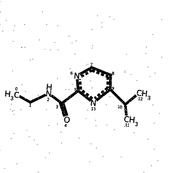 CCNC(=O)c1nccc(C(C)C)n1